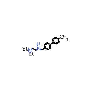 CCN(CC)CCNCc1ccc(-c2ccc(C(F)(F)F)cc2)cc1